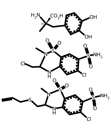 C=CCSCC1Nc2cc(Cl)c(S(N)(=O)=O)cc2S(=O)(=O)N1C.CN1C(CCl)Nc2cc(Cl)c(S(N)(=O)=O)cc2S1(=O)=O.C[C@](N)(Cc1ccc(O)c(O)c1)C(=O)O